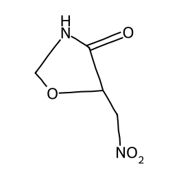 O=C1NCOC1C[N+](=O)[O-]